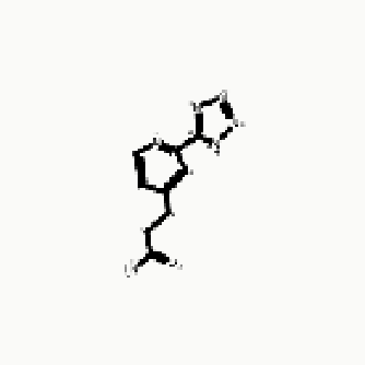 NC(=O)C[CH]c1ccnc(-c2nnn[nH]2)c1